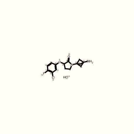 Cl.NC12CC(N3CCC(Oc4ccc(F)c(Cl)c4)C3=O)(C1)C2